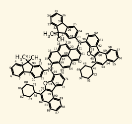 CC1(C)c2ccccc2-c2ccc(N(c3ccc4ccc5c(N(c6ccc7c(c6)C(C)(C)c6ccccc6-7)c6cccc7c6oc6c(C8CCCCC8)cc8ccccc8c67)ccc6ccc3c4c65)c3cccc4c3oc3c(C5CCCCC5)cc5ccccc5c34)cc21